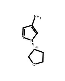 Nc1cnn([C@@H]2CCOC2)c1